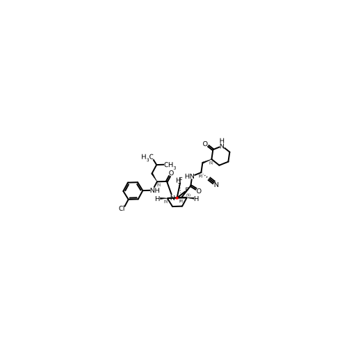 CC(C)C[C@H](Nc1cccc(Cl)c1)C(=O)N1[C@H]2CC[C@@H]([C@@H]1C(=O)N[C@@H](C#N)C[C@@H]1CCCNC1=O)C(F)(F)C2